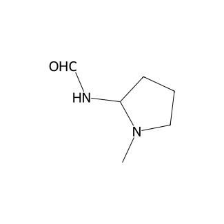 CN1CCCC1NC=O